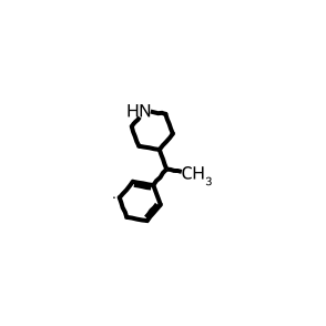 CC(C1=C[CH]CC=C1)C1CCNCC1